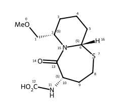 COC[C@@H]1CCC[C@@H]2SCC[C@H](NC(=O)O)C(=O)N12